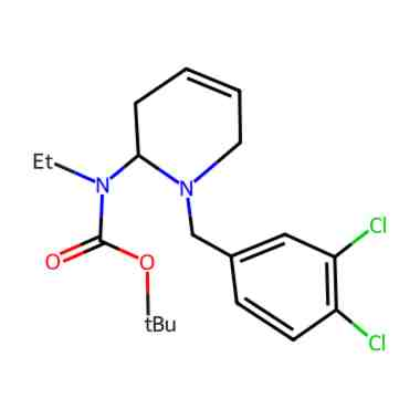 CCN(C(=O)OC(C)(C)C)C1CC=CCN1Cc1ccc(Cl)c(Cl)c1